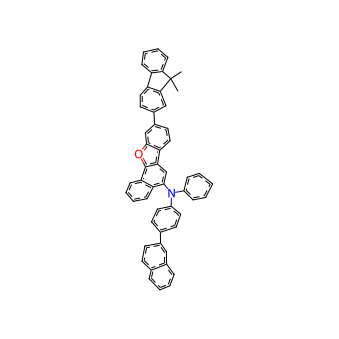 CC1(C)c2ccccc2-c2ccc(-c3ccc4c(c3)oc3c5ccccc5c(N(c5ccccc5)c5ccc(-c6ccc7ccccc7c6)cc5)cc43)cc21